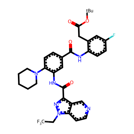 CC(C)(C)OC(=O)Cc1cc(F)ccc1NC(=O)c1ccc(N2CCCCC2)c(NC(=O)c2nn(CC(F)(F)F)c3ccncc23)c1